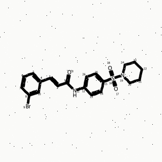 O=C(C=Cc1cccc(Br)c1)Nc1ccc(S(=O)(=O)N2CCCCC2)cc1